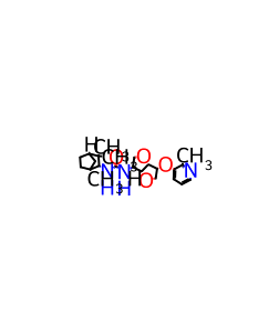 Cc1ncccc1O[C@H]1CO[C@H]2C(NC(=O)N[C@H]3C(C)(C)[C@@H]4CC[C@@]3(C)C4)COC21